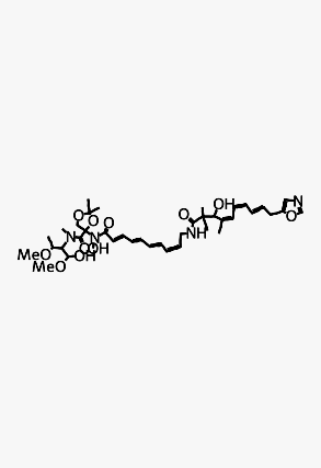 COC(C)C(C(O)OC)N(C)C(=O)C1(N(O)C(=O)/C=C/C=C/C=C/C=C\CNC(=O)C(C)(C)C(O)\C(C)=C/C=C\C=C\Cc2cnco2)COC(C)(C)O1